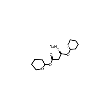 O=C(CC(=O)OC1CCCCO1)OC1CCCCO1.[NaH]